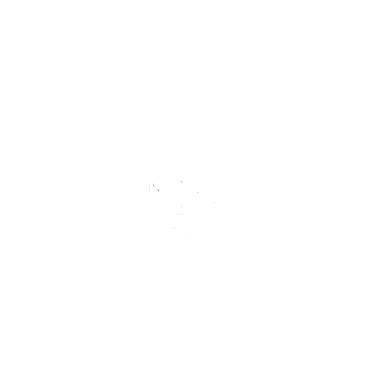 C[C](C)=[Zr]([c]1cc2ccccc2[nH]1)([CH]1C=Cc2ccccc21)([C](C)(C)C)[C](C)(C)C